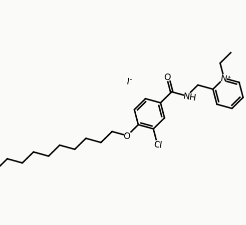 CCCCCCCCCCOc1ccc(C(=O)NCc2cccc[n+]2CC)cc1Cl.[I-]